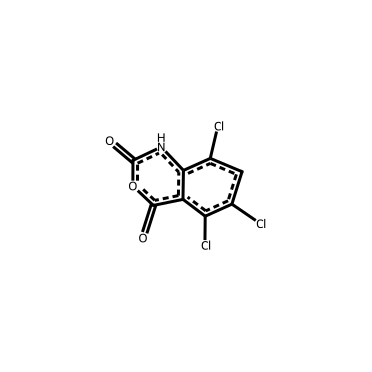 O=c1[nH]c2c(Cl)cc(Cl)c(Cl)c2c(=O)o1